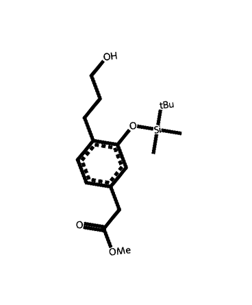 COC(=O)Cc1ccc(CCCO)c(O[Si](C)(C)C(C)(C)C)c1